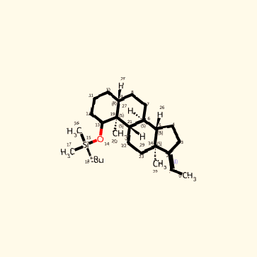 C/C=C1\CC[C@H]2[C@@H]3CC[C@H]4CCCC(O[Si](C)(C)C(C)(C)C)[C@]4(C)[C@H]3CC[C@]12C